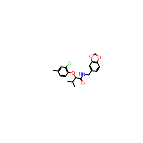 Cc1ccc(OC(C(=O)NCc2ccc3c(c2)OCO3)C(C)C)c(Cl)c1